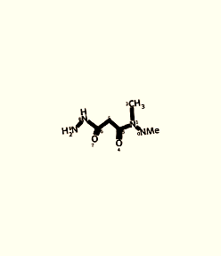 CNN(C)C(=O)CC(=O)NN